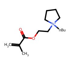 C=C(C)C(=O)OCC[N+]1(CCCC)CCCC1